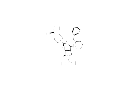 CC(=O)N1CCN(c2nc3c(c(N4CCCCC4Cc4ccccc4)n2)CN(C(C)C)C3=O)CC1